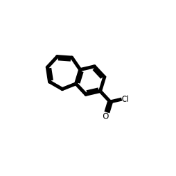 O=C(Cl)c1ccc2c(c1)CC=CC=C2